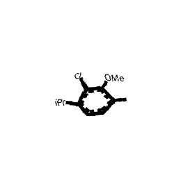 COc1c(C)ccc(C(C)C)c1Cl